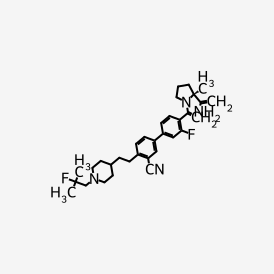 C=C(c1ccc(-c2ccc(CCC3CCN(CC(C)(C)F)CC3)c(C#N)c2)cc1F)N1CCC[C@]1(C)C(=C)N